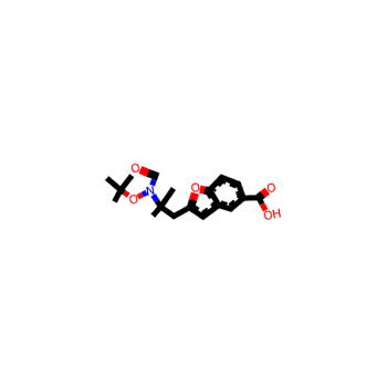 CC(C)(C)ON(C=O)C(C)(C)Cc1cc2cc(C(=O)O)ccc2o1